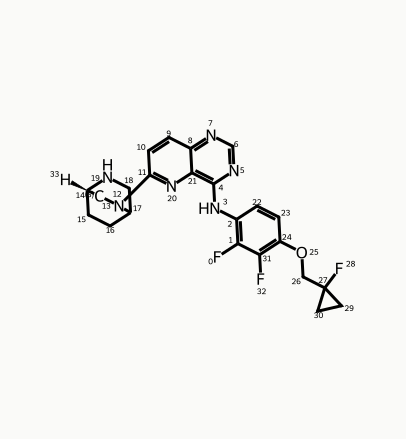 Fc1c(Nc2ncnc3ccc(N4C[C@@H]5CCC4CN5)nc23)ccc(OCC2(F)CC2)c1F